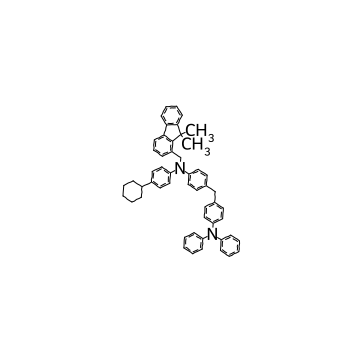 CC1(C)c2ccccc2-c2cccc(CN(c3ccc(Cc4ccc(N(c5ccccc5)c5ccccc5)cc4)cc3)c3ccc(C4CCCCC4)cc3)c21